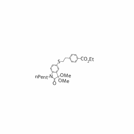 CCCCCN1C(=O)C(OC)(OC)c2cc(SCCc3ccc(C(=O)OCC)cc3)ccc21